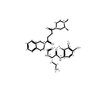 C[C@H]1CN(C(=O)CCC(=O)N2Cc3ccccc3C[C@H]2C(=O)N[C@@H](CCN)C(=O)Nc2ccc(Cl)c(Cl)c2F)CCN1C